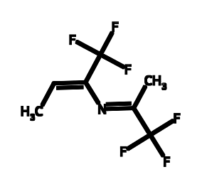 C/C=C(\N=C(/C)C(F)(F)F)C(F)(F)F